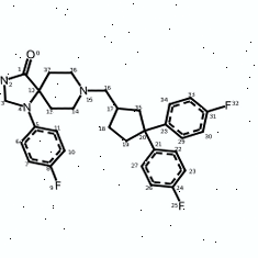 O=C1NCN(c2ccc(F)cc2)C12CCN(CC1CCC(c3ccc(F)cc3)(c3ccc(F)cc3)C1)CC2